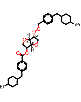 CCCC1CCC(Cc2ccc(COO[C@H]3CO[C@@H]4C(OC(=O)c5ccc(CC6CCC(CC)CC6)cc5)CO[C@H]34)cc2)CC1